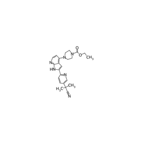 CCOC(=O)N1CCN(c2ccnc3[nH]c(-c4ccc(C(C)(C)C#N)cn4)cc23)CC1